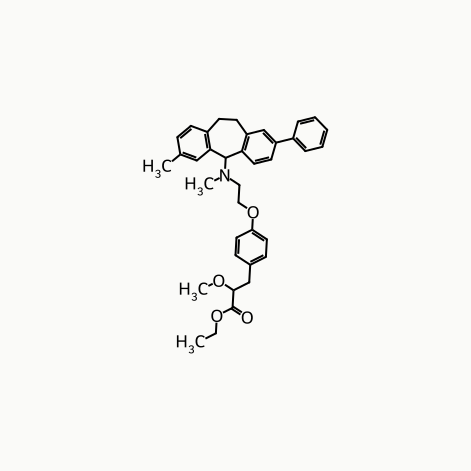 CCOC(=O)C(Cc1ccc(OCCN(C)C2c3ccc(-c4ccccc4)cc3CCc3ccc(C)cc32)cc1)OC